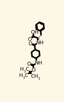 CC(C)(C)OC(=O)NC1CCC(C(=O)N[C@@H](Cc2ccccc2)C(=O)O)CC1